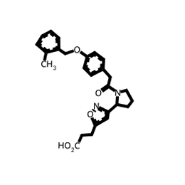 Cc1ccccc1COc1ccc(CC(=O)N2CCCC2c2cc(CCC(=O)O)on2)cc1